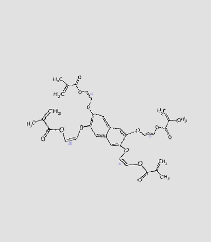 C=C(C)C(=O)O/C=C\Oc1cc2cc(O/C=C\OC(=O)C(=C)C)c(O/C=C\OC(=O)C(=C)C)cc2cc1O/C=C\OC(=O)C(=C)C